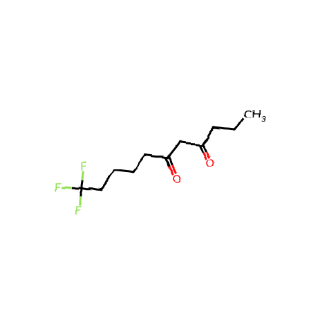 CCCC(=O)CC(=O)CCCCC(F)(F)F